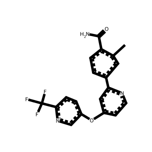 Cc1cc(-c2cc(Oc3ccc(C(F)(F)F)nc3)ccn2)ccc1C(N)=O